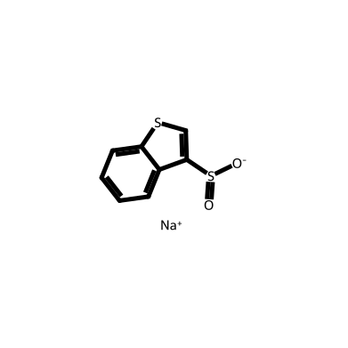 O=S([O-])c1csc2ccccc12.[Na+]